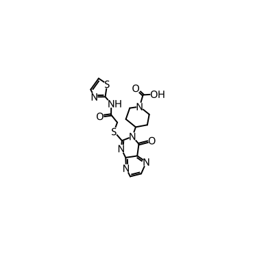 O=C(CSc1nc2nccnc2c(=O)n1C1CCN(C(=O)O)CC1)Nc1nccs1